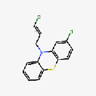 Cl/C=C/CN1c2ccccc2Sc2ccc(Cl)cc21